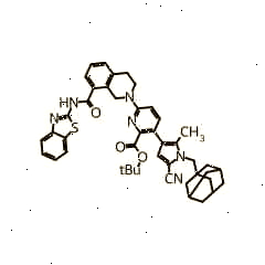 Cc1c(-c2ccc(N3CCc4cccc(C(=O)Nc5nc6ccccc6s5)c4C3)nc2C(=O)OC(C)(C)C)cc(C#N)n1CC12CC3CC(CC(C3)C1)C2